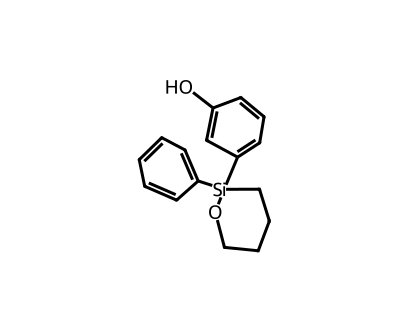 Oc1cccc([Si]2(c3ccccc3)CCCCO2)c1